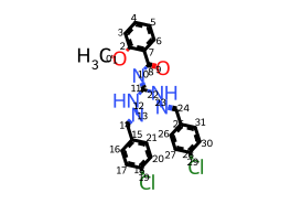 COc1ccccc1C(=O)N=C(NN=Cc1ccc(Cl)cc1)NN=Cc1ccc(Cl)cc1